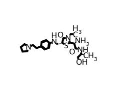 CCN1C(=O)[C@@H](CNc2ccc(CCN3CCCC3)cc2)SC1[C@H](N)C(=O)N[C@@H](C)CO